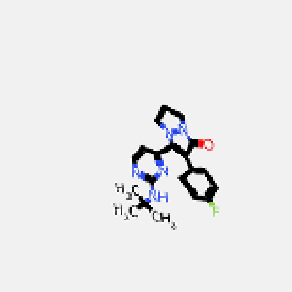 CC(C)(C)Nc1nccc(-c2c(-c3ccc(F)cc3)c(=O)n3n2CCC3)n1